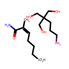 CC(=CCCCS(=O)(=O)O)C(N)=O.OCC(CO)(CO)CCCP